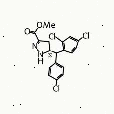 COC(=O)C1=NN[C@H](C(c2ccc(Cl)cc2)c2ccc(Cl)cc2Cl)C1